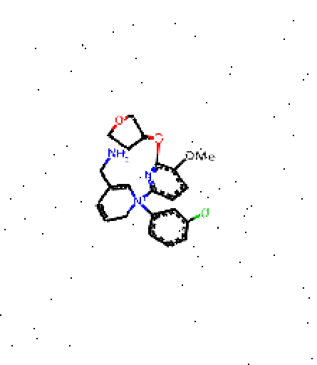 COc1ccc([N+]2(c3cccc(Cl)c3)C=C(CN)C=CC2)nc1OC1CCOC1